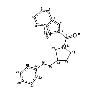 O=C(c1cc2ccccc2[nH]1)N1CCC(CCc2ccccc2)C1